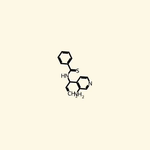 C=CC(NC(=S)c1ccccc1)c1ccncc1N